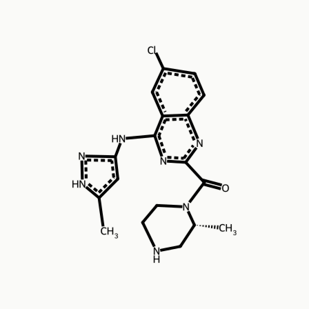 Cc1cc(Nc2nc(C(=O)N3CCNC[C@H]3C)nc3ccc(Cl)cc23)n[nH]1